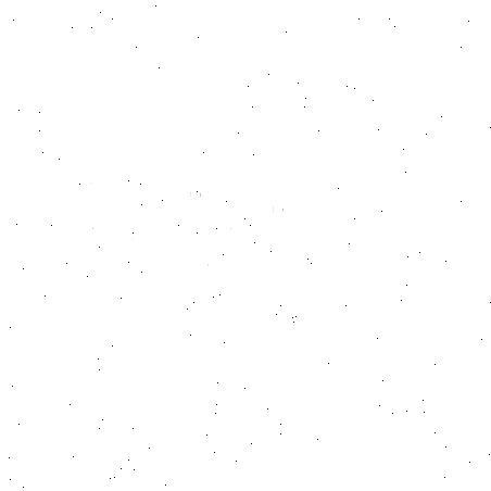 CCCCCCC1(C2(/C=C/C(C)=O)CC2)OCCO1